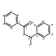 CN(CC(=O)c1ccccc1)c1ccccc1